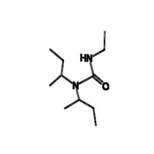 CCNC(=O)N(C(C)CC)C(C)CC